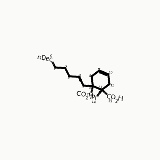 CCCCCCCCCCCCCCCC1(C(=O)O)CC=CCC1(C(=O)O)C(C)C